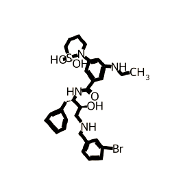 CCNc1cc(C(=O)N[C@@H](Cc2ccccc2)[C@@H](O)CNCc2cccc(Br)c2)cc(N2CCCCS2(O)O)c1